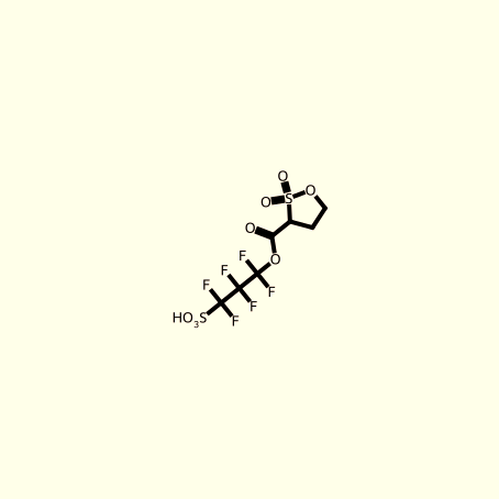 O=C(OC(F)(F)C(F)(F)C(F)(F)S(=O)(=O)O)C1CCOS1(=O)=O